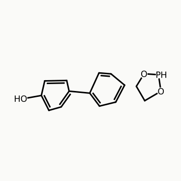 C1COPO1.Oc1ccc(-c2ccccc2)cc1